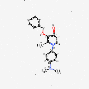 Cc1c(OCc2ccccc2)c(=O)ccn1-c1ccc(N(C)C)cc1